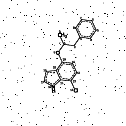 [CH2]C(Cc1ccccc1)Oc1ccc(Cl)c2[nH]ccc12